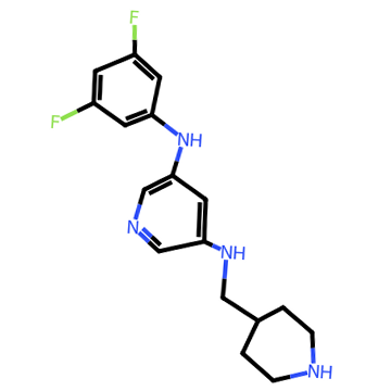 Fc1cc(F)cc(Nc2cncc(NCC3CCNCC3)c2)c1